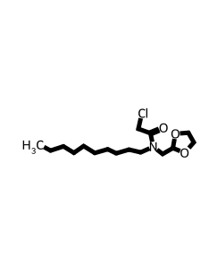 CCCCCCCCCCN(CC1OCCO1)C(=O)CCl